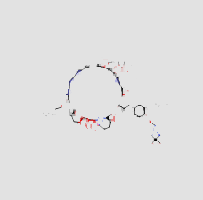 COCCO[C@H]1C[C@@H]2CC[C@@H](C)[C@@](O)(O2)C(=O)C(=O)N2CCCC[C@H]2C(=O)O[C@H]([C@H](C)C[C@@H]2CC[C@@H](OCCN3CC4(COC4)C3)[C@H](OC)C2)CC(=O)[C@H](C)/C=C(\C)[C@@H](O)[C@@H](OC)C(=O)[C@H](C)C[C@H](C)/C=C/C=C/C=C/1C